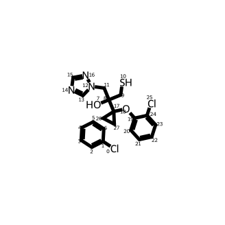 Clc1ccccc1.OC(CS)(Cn1cncn1)C1(Oc2ccccc2Cl)CC1